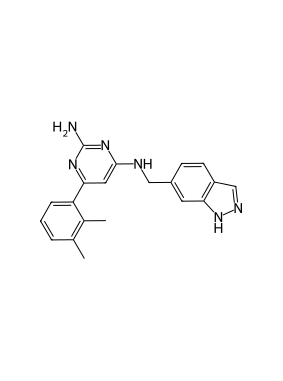 Cc1cccc(-c2cc(NCc3ccc4cn[nH]c4c3)nc(N)n2)c1C